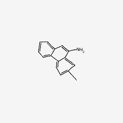 Cc1ccc2c(c1)c(N)cc1ccccc12